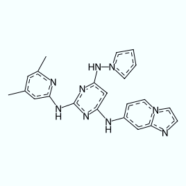 Cc1cc(C)nc(Nc2nc(Nc3ccn4ccnc4c3)cc(Nn3cccc3)n2)c1